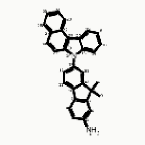 CC1(C)c2cc(N)ccc2-c2ccc(-n3c4ccccc4c4c5ccccc5ccc43)cc21